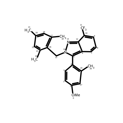 COc1ccc(-c2c3cccc(C(F)(F)F)c3nn2Cc2c(C)cc(C)cc2C)c(C)c1